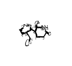 O=C1CCC(c2nnccc2CCl)C(=O)N1